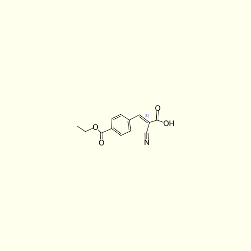 CCOC(=O)c1ccc(/C=C(\C#N)C(=O)O)cc1